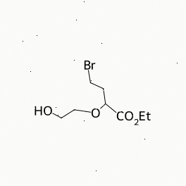 CCOC(=O)C(CCBr)OCCO